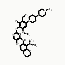 CCc1c(N2CCC(N3CCN(C)CC3)CC2)cc(OC)c(Nc2ncc(Br)c(Nc3ccc4c(c3P(C)C)OCCO4)n2)c1F